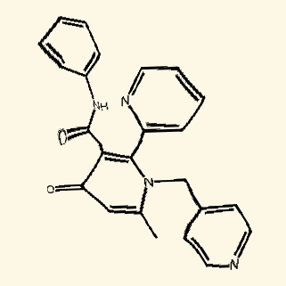 Cc1cc(=O)c(C(=O)Nc2ccccc2)c(-c2ccccn2)n1Cc1ccncc1